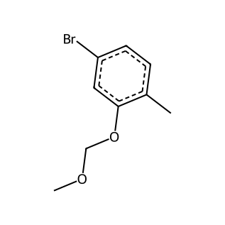 COCOc1cc(Br)ccc1C